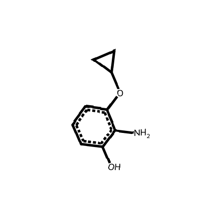 Nc1c(O)cccc1OC1CC1